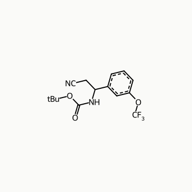 CC(C)(C)OC(=O)NC(CC#N)c1cccc(OC(F)(F)F)c1